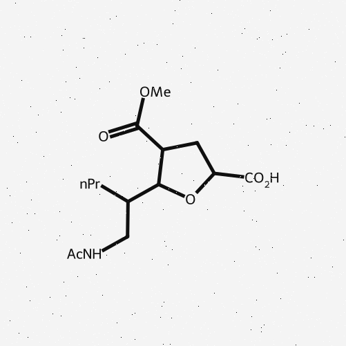 CCCC(CNC(C)=O)C1OC(C(=O)O)CC1C(=O)OC